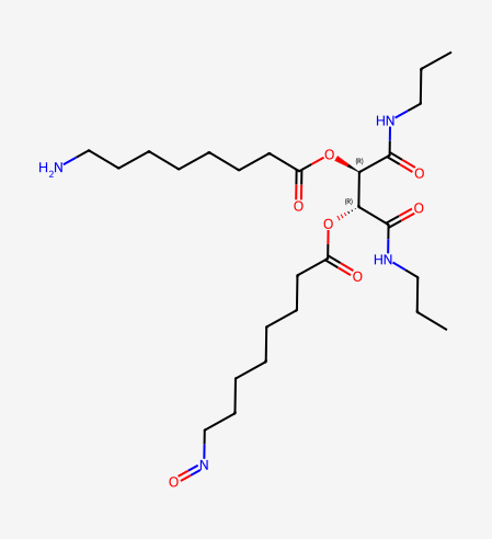 CCCNC(=O)[C@H](OC(=O)CCCCCCCN)[C@@H](OC(=O)CCCCCCCN=O)C(=O)NCCC